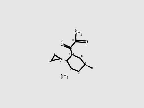 C[C@H]1CC[C@H](C2CC2)N(C(=O)C(N)=O)C1.N